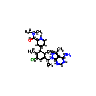 COC1C(C(C)n2nc(C)c3c(N)ncnc32)=CC(Cl)=C(C)C1c1ccnc(C(=O)N(C)C)c1